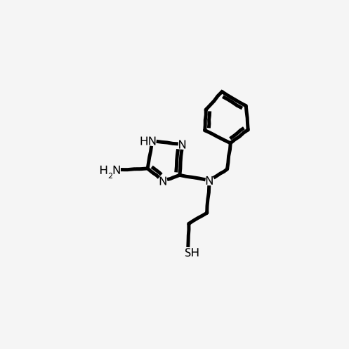 Nc1nc(N(CCS)Cc2ccccc2)n[nH]1